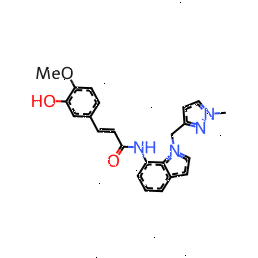 COc1ccc(/C=C/C(=O)Nc2cccc3ccn(Cc4ccn(C)n4)c23)cc1O